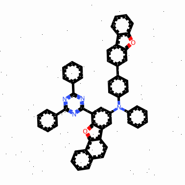 c1ccc(-c2nc(-c3ccccc3)nc(-c3cc(N(c4ccccc4)c4ccc(-c5ccc6c(c5)oc5ccccc56)cc4)cc4c3oc3c5ccccc5ccc43)n2)cc1